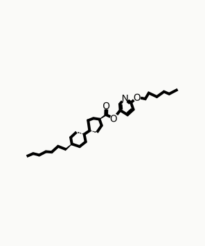 CCCCCCC[C@H]1CC[C@H]([C@H]2CC[C@H](C(=O)Oc3ccc(OCCCCCC)nc3)CC2)CC1